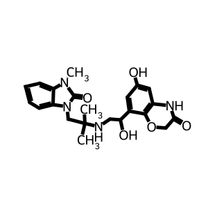 Cn1c(=O)n(CC(C)(C)NCC(O)c2cc(O)cc3c2OCC(=O)N3)c2ccccc21